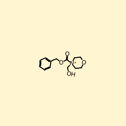 O=C(OCc1ccccc1)[N+]1(CO)CCOCC1